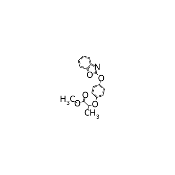 COC(=O)C(C)Oc1ccc(Oc2nc3ccccc3o2)cc1